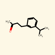 CC(=O)CCc1cccc(C(C)C)c1